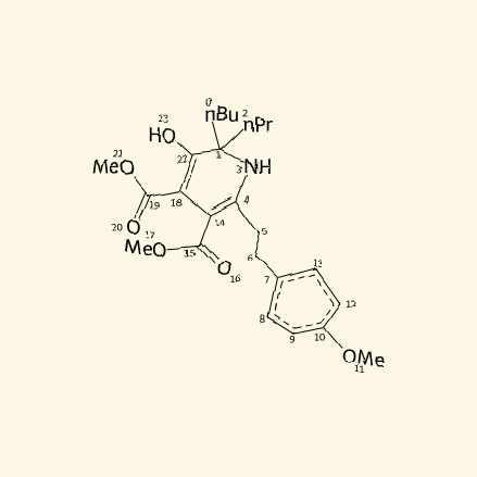 CCCCC1(CCC)NC(CCc2ccc(OC)cc2)=C(C(=O)OC)C(C(=O)OC)=C1O